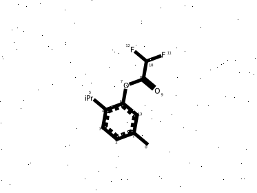 Cc1ccc(C(C)C)c(OC(=O)C(F)F)c1